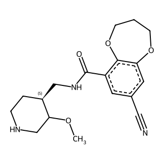 COC1CNCC[C@H]1CNC(=O)c1cc(C#N)cc2c1OCCCO2